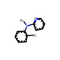 CCc1ccccc1N(C(C)=O)c1ccccn1